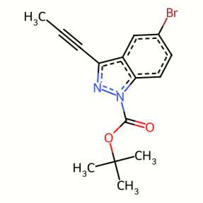 CC#Cc1nn(C(=O)OC(C)(C)C)c2ccc(Br)cc12